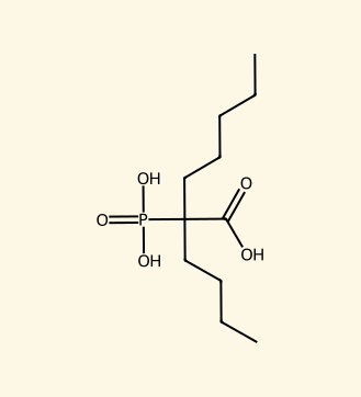 CCCCCC(CCCC)(C(=O)O)P(=O)(O)O